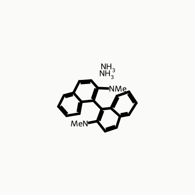 CNc1ccc2ccccc2c1-c1c(NC)ccc2ccccc12.N.N